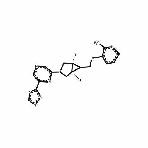 FC(F)(F)c1ncccc1OCC1[C@H]2CN(c3cncc(-c4nncs4)n3)C[C@@H]12